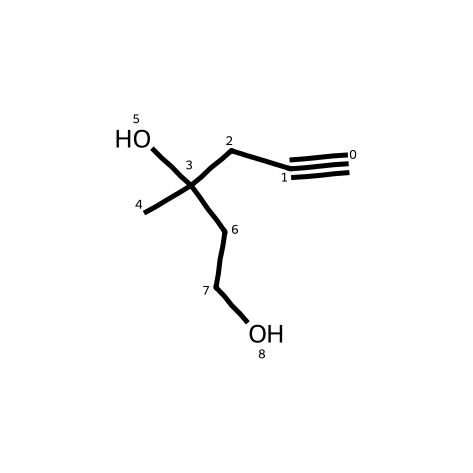 C#CCC(C)(O)CCO